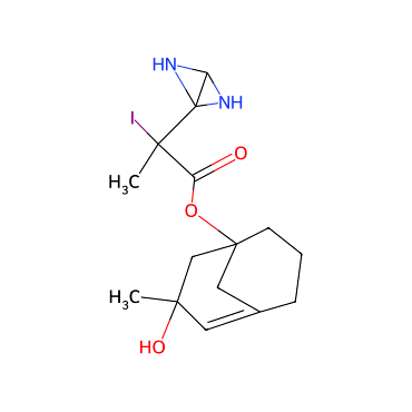 CC1(O)C=C2CCCC(OC(=O)C(C)(I)C34NC3N4)(C2)C1